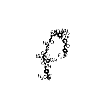 C=N/C(=C\N(C)CCCC(=O)NCCOCCC(=O)N[C@H](C(=O)N1C[C@H](O)C[C@H]1C(=O)NCc1ccc(-c2scnc2C)cc1)C(C)(C)C)c1cnc(O[C@@H]2CCN(C(=O)Cc3ccc(OC(F)(F)F)cc3)C[C@H]2F)c(C(N)=O)c1